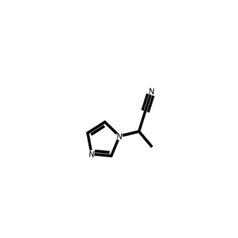 CC(C#N)n1ccnc1